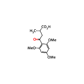 COc1cc(OC)c(C(=O)CC(C)C(=O)O)c(OC)c1